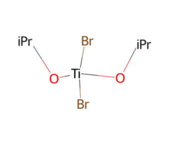 CC(C)[O][Ti]([Br])([Br])[O]C(C)C